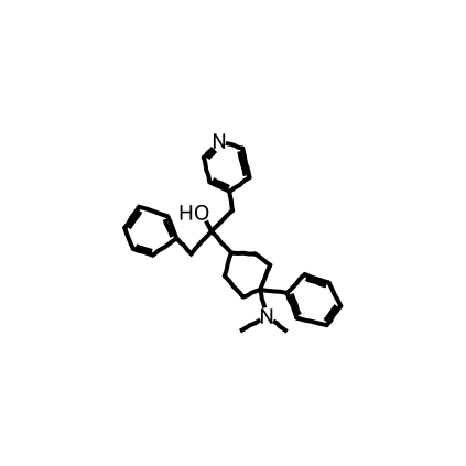 CN(C)C1(c2ccccc2)CCC(C(O)(Cc2ccccc2)Cc2ccncc2)CC1